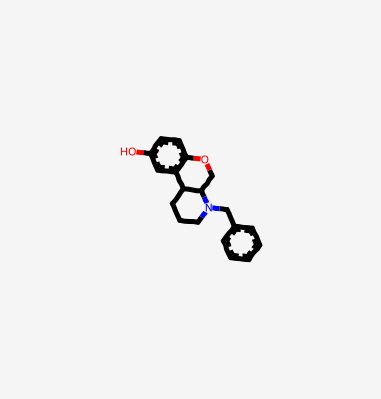 Oc1ccc2c(c1)C1CCCN(Cc3ccccc3)C1CO2